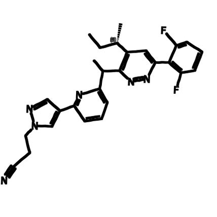 CC[C@H](C)c1cc(-c2c(F)cccc2F)nnc1C(C)c1cccc(-c2cnn(CCC#N)c2)n1